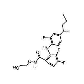 CCCC(C)c1ccc(Nc2c(C(=O)NOCCO)ccc(F)c2F)c(F)c1